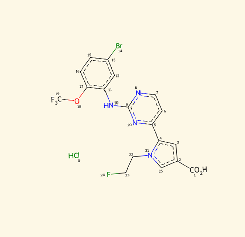 Cl.O=C(O)c1cc(-c2ccnc(Nc3cc(Br)ccc3OC(F)(F)F)n2)n(CCF)c1